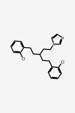 Clc1ccccc1CCC(CCc1ccccc1Cl)CCn1ccnc1